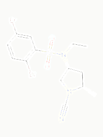 CCN([C@@H]1C[C@H](C)N(C#N)C1)S(=O)(=O)c1cc(Br)ccc1Br